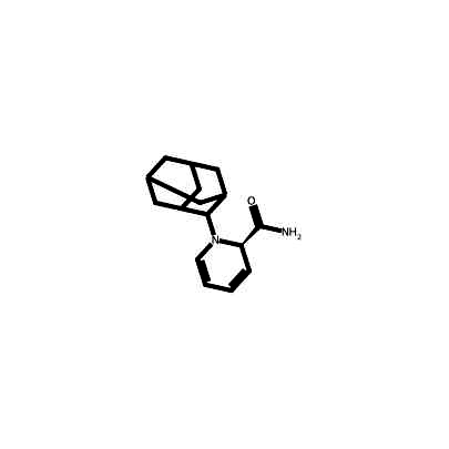 NC(=O)[C@H]1C=CC=CN1C1C2CC3CC(C2)CC1C3